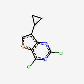 Clc1nc(Cl)c2scc(C3CC3)c2n1